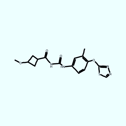 COC1CC(C(=O)NC(=O)Nc2ccc(Oc3nncs3)c(C)c2)C1